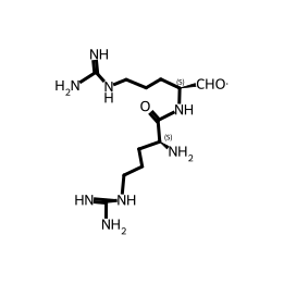 N=C(N)NCCC[C@@H]([C]=O)NC(=O)[C@@H](N)CCCNC(=N)N